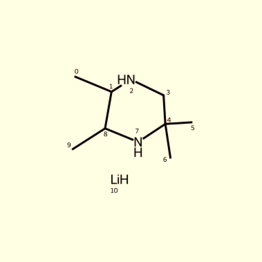 CC1NCC(C)(C)NC1C.[LiH]